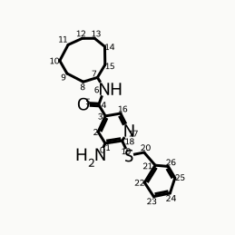 Nc1cc(C(=O)NC2CCCCCCCC2)cnc1SCc1ccccc1